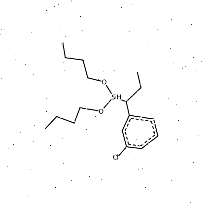 CCCCO[SiH](OCCCC)C(CC)c1cccc(Cl)c1